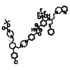 CC(C)(C)OC(=O)N1CCN(C[C@]2(C)CCC(c3ccc(Cl)cc3)=C(CN3CCN(c4ccc(C(=O)NS(=O)(=O)c5ccc(NC(CCN6CCc7cccnc7C6)CSc6ccccc6)c(S(=O)(=O)C(F)(F)F)c5)cc4)CC3)C2)CC1